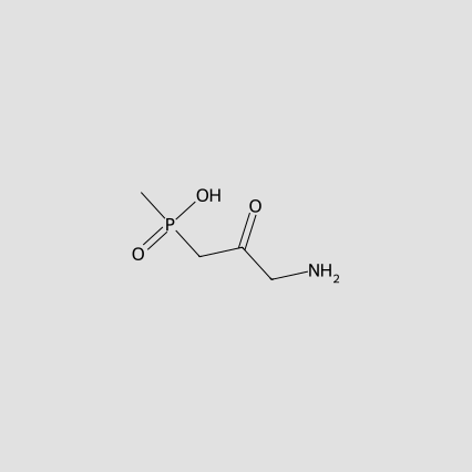 CP(=O)(O)CC(=O)CN